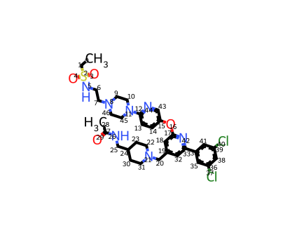 CCS(=O)(=O)NCCN1CCN(c2ccc(Oc3cc(CN4CCC(CNC(C)=O)CC4)cc(-c4cc(Cl)cc(Cl)c4)n3)cn2)CC1